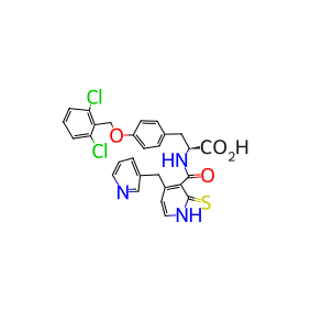 O=C(N[C@@H](Cc1ccc(OCc2c(Cl)cccc2Cl)cc1)C(=O)O)c1c(Cc2cccnc2)cc[nH]c1=S